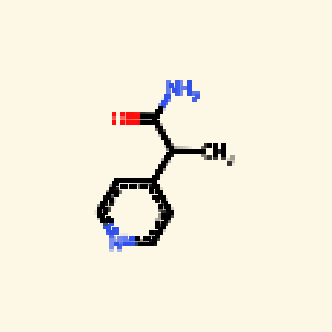 C[C](C(N)=O)c1ccncc1